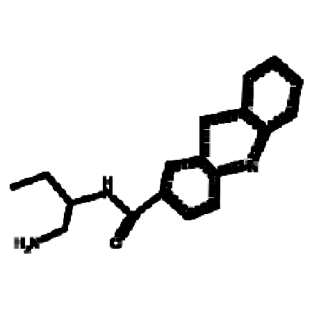 CCC(CN)NC(=O)c1ccc2nc3ccccc3cc2c1